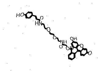 O=C(/C=C/c1ccc(O)cc1)NCCOCCOCCNC(=O)COC(=O)c1ccccc1-c1c2ccc(=O)cc-2oc2cc(O)ccc12